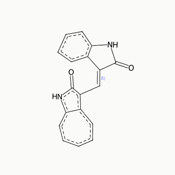 O=C1Nc2ccccc2/C1=C\c1c2cccccc-2[nH]c1=O